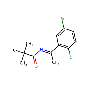 C/C(=N\C(=O)C(C)(C)C)c1cc(Br)ccc1F